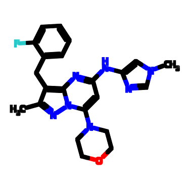 Cc1nn2c(N3CCOCC3)cc(Nc3cn(C)cn3)nc2c1Cc1ccccc1F